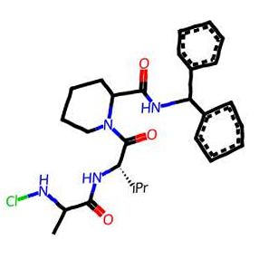 CC(NCl)C(=O)N[C@H](C(=O)N1CCCCC1C(=O)NC(c1ccccc1)c1ccccc1)C(C)C